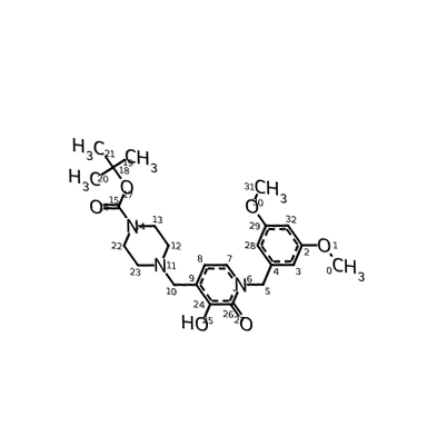 COc1cc(Cn2ccc(CN3CCN(C(=O)OC(C)(C)C)CC3)c(O)c2=O)cc(OC)c1